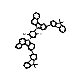 CC1(C)c2ccccc2-c2cc(-c3ccc4c(c3)c3c5ccccc5ccc3n4-c3cc(C#N)c(-n4c5ccc(-c6ccc7c(c6)-c6ccccc6C7(C)C)cc5c5c6ccccc6ccc54)cc3C#N)ccc21